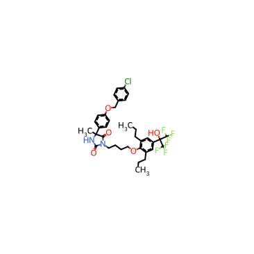 CCCc1cc(C(O)(C(F)(F)F)C(F)(F)F)cc(CCC)c1OCCCCN1C(=O)NC(C)(c2ccc(OCc3ccc(Cl)cc3)cc2)C1=O